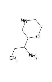 CCC(N)C1CNCCO1